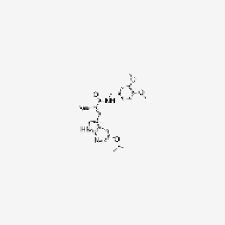 COc1ccc(CNC(=O)/C(C#N)=C/c2c[nH]c3ncc(OC(C)C)cc23)cc1OC